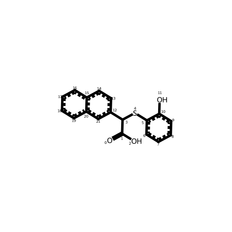 O=C(O)C(Sc1ccccc1O)c1ccc2ccccc2c1